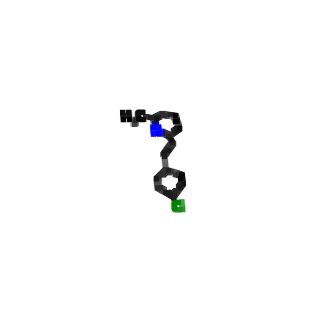 Cc1cccc(C=Cc2ccc(Cl)cc2)n1